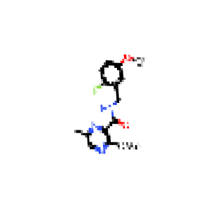 COc1ncc(C)nc1C(=O)NCc1cc(OC(F)(F)F)ccc1F